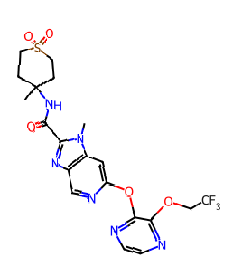 Cn1c(C(=O)NC2(C)CCS(=O)(=O)CC2)nc2cnc(Oc3nccnc3OCC(F)(F)F)cc21